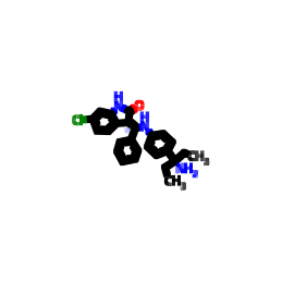 CCC(N)(CC)c1ccc(N/C(=C2\C(=O)Nc3cc(Cl)ccc32)c2ccccc2)cc1